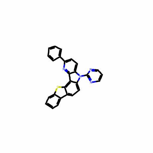 c1ccc(-c2ccc3c(n2)c2c4sc5ccccc5c4ccc2n3-c2ncccn2)cc1